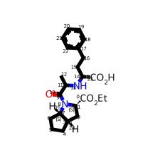 CCOC(=O)[C@@H]1C[C@@H]2CCC[C@@H]2N1C(=O)C(C)NC(CCc1ccccc1)C(=O)O